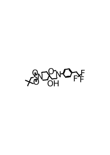 CC(C)(C)CS(=O)(=O)N1CCC2(CCN(c3ccc(CC(F)(F)F)cc3)CO2)C(O)C1